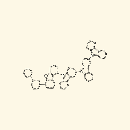 c1ccc(-c2cccc(-c3cccc4c3oc3cccc(-n5c6ccccc6c6cc(-n7c8ccccc8c8cc(-n9c%10ccccc%10c%10ccccc%109)ccc87)ccc65)c34)c2)cc1